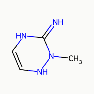 CN1NC=CNC1=N